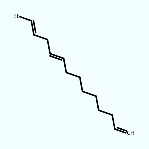 [CH]=CCCCCCCC=CCC=CCC